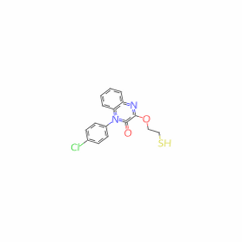 O=c1c(OCCS)nc2ccccc2n1-c1ccc(Cl)cc1